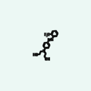 OCCN(CCO)c1ccc(N=Nc2ccccc2C(F)(F)F)cc1